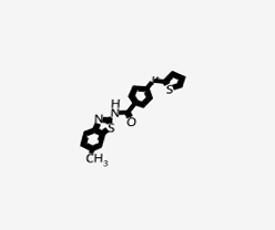 Cc1ccc2nc(NC(=O)c3ccc([I+]c4cccs4)cc3)sc2c1